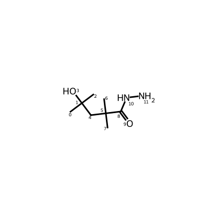 CC(C)(O)CC(C)(C)C(=O)NN